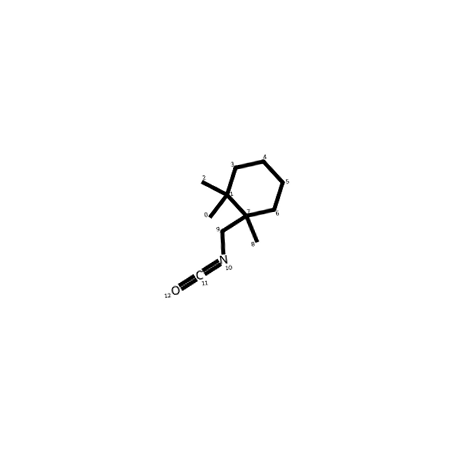 CC1(C)CC[CH]CC1(C)CN=C=O